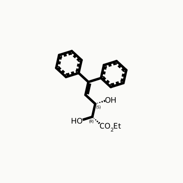 CCOC(=O)[C@H](O)[C@@H](O)C=C(c1ccccc1)c1ccccc1